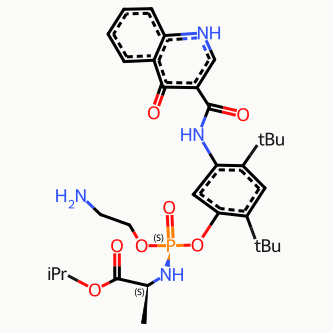 CC(C)OC(=O)[C@H](C)N[P@](=O)(OCCN)Oc1cc(NC(=O)c2c[nH]c3ccccc3c2=O)c(C(C)(C)C)cc1C(C)(C)C